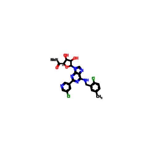 CNC(=O)[C@@H]1OC(n2cnc3c(NCc4cc(C)ccc4Cl)nc(-c4cncc(Cl)c4)nc32)C(O)C1O